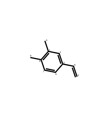 [CH2]c1cc(C=C)ccc1C